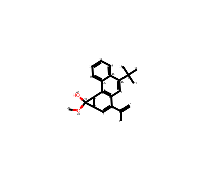 C=C(C)C1=CC2C(c3c1cc(C(C)(C)C)c1ccccc31)C2(O)OC